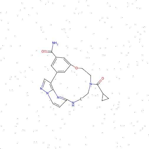 NC(=O)c1cc2cc(c1)-c1cnn3ccc(nc13)NCCN(C(=O)C1CC1)CCO2